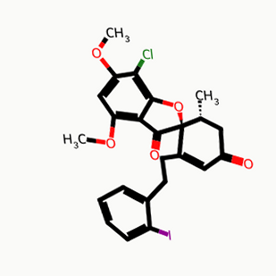 COc1cc(OC)c2c(c1Cl)O[C@]1(C2=O)C(CCc2ccccc2I)=CC(=O)C[C@H]1C